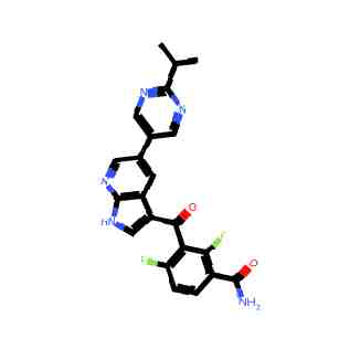 CC(C)c1ncc(-c2cnc3[nH]cc(C(=O)c4c(F)ccc(C(N)=O)c4F)c3c2)cn1